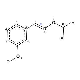 COc1cccc(/[C]=N/OC(C)C)c1